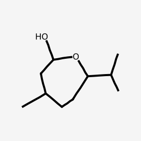 CC1CCC(C(C)C)OC(O)C1